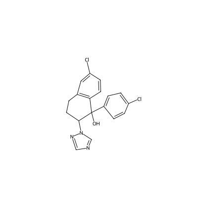 OC1(c2ccc(Cl)cc2)c2ccc(Cl)cc2CCC1n1cncn1